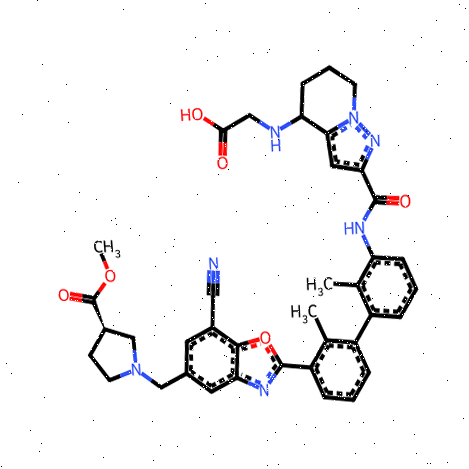 COC(=O)[C@@H]1CCN(Cc2cc(C#N)c3oc(-c4cccc(-c5cccc(NC(=O)c6cc7n(n6)CCCC7NCC(=O)O)c5C)c4C)nc3c2)C1